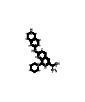 C[C@@H](O)c1cc2cnc(Nc3ccc4c(n3)CCNC4)nc2c(N2CCCCC2)n1